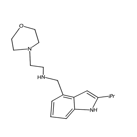 CC(C)c1cc2c(CNCCN3CCOCC3)cccc2[nH]1